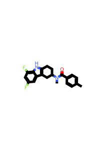 Cc1ccc(C(=O)N(C)C2CCc3[nH]c4c(F)cc(F)cc4c3C2)cc1